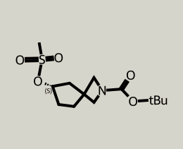 CC(C)(C)OC(=O)N1CC2(CC[C@H](OS(C)(=O)=O)C2)C1